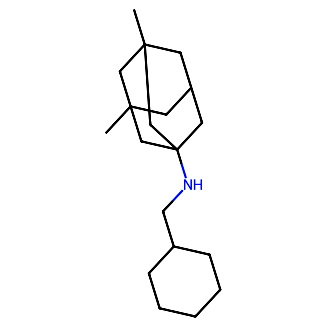 CC12CC3CC(C)(C1)CC(NCC1CCCCC1)(C3)C2